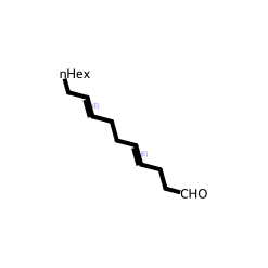 CCCCCCC/C=C/CC/C=C/CCC=O